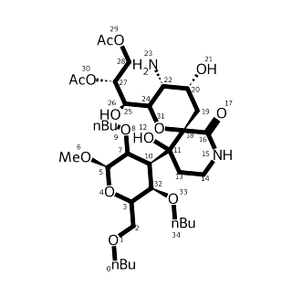 CCCCOCC1O[C@@H](OC)C(OCCCC)[C@@H](C2(O)CCNC(=O)[C@]23C[C@@H](O)[C@@H](N)C([C@H](O)[C@@H](COC(C)=O)OC(C)=O)O3)[C@H]1OCCCC